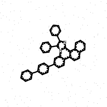 c1ccc(-c2ccc(-c3ccc4c5ccc6ccccc6c5c5nc(-c6ccccc6)c(-c6ccccc6)n5c4c3)cc2)cc1